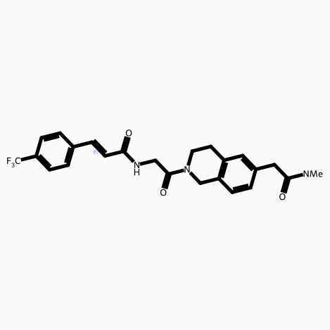 CNC(=O)Cc1ccc2c(c1)CCN(C(=O)CNC(=O)/C=C/c1ccc(C(F)(F)F)cc1)C2